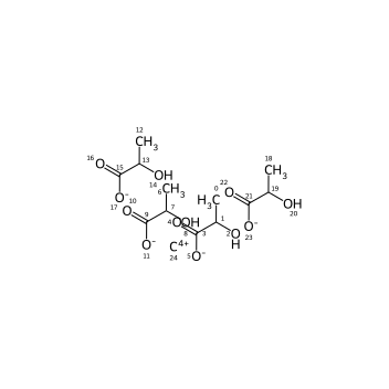 CC(O)C(=O)[O-].CC(O)C(=O)[O-].CC(O)C(=O)[O-].CC(O)C(=O)[O-].[C+4]